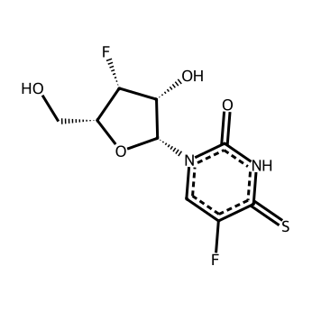 O=c1[nH]c(=S)c(F)cn1[C@@H]1O[C@H](CO)[C@H](F)[C@@H]1O